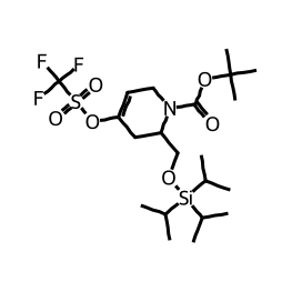 CC(C)[Si](OCC1CC(OS(=O)(=O)C(F)(F)F)=CCN1C(=O)OC(C)(C)C)(C(C)C)C(C)C